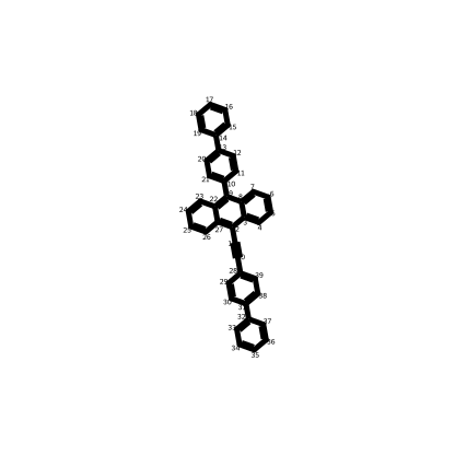 C(#Cc1c2ccccc2c(-c2ccc(-c3ccccc3)cc2)c2ccccc12)c1ccc(-c2ccccc2)cc1